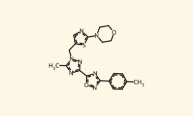 Cc1ccc(-c2noc(-c3nc(C)n(Cc4cnc(N5CCOCC5)s4)n3)n2)cc1